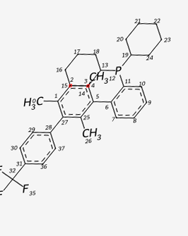 Cc1cc(C)c(-c2ccccc2P(C2CCCCC2)C2CCCCC2)c(C)c1-c1ccc(C(F)(F)F)cc1